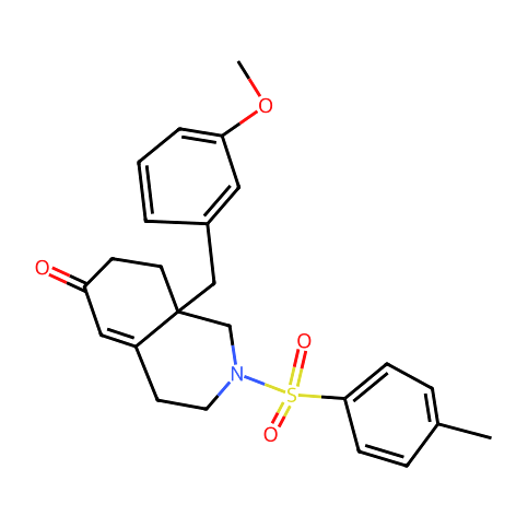 COc1cccc(CC23CCC(=O)C=C2CCN(S(=O)(=O)c2ccc(C)cc2)C3)c1